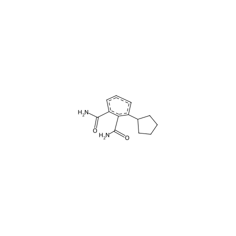 NC(=O)c1cccc(C2CCCC2)c1C(N)=O